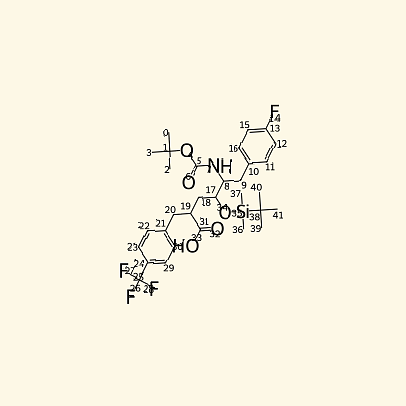 CC(C)(C)OC(=O)NC(Cc1ccc(F)cc1)C(CC(Cc1ccc(C(F)(F)F)cc1)C(=O)O)O[Si](C)(C)C(C)(C)C